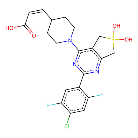 O=C(O)/C=C\C1CCN(c2nc(-c3cc(F)c(Cl)cc3F)nc3c2CS(O)(O)C3)CC1